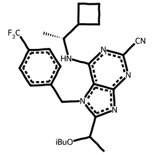 CC(C)COC(C)c1nc2nc(C#N)nc(N[C@H](C)C3CCC3)c2n1Cc1ccc(C(F)(F)F)cc1